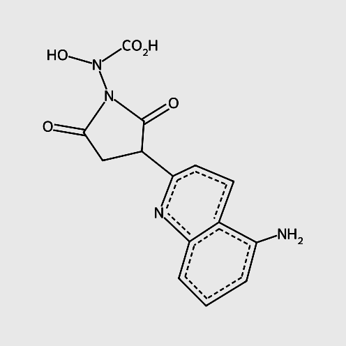 Nc1cccc2nc(C3CC(=O)N(N(O)C(=O)O)C3=O)ccc12